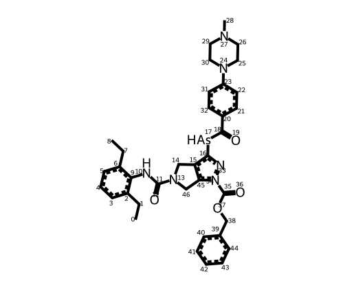 CCc1cccc(CC)c1NC(=O)N1Cc2c([AsH]C(=O)c3ccc(N4CCN(C)CC4)cc3)nn(C(=O)OCc3ccccc3)c2C1